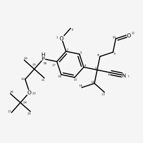 COc1cc(C(C#N)(CCC=O)C(C)C)ccc1PC(C)(C)COC(C)(C)C